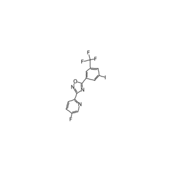 Fc1ccc(-c2noc(-c3cc(I)cc(C(F)(F)F)c3)n2)nc1